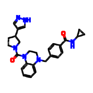 O=C(NC1CC1)c1ccc(CN2CCN(C(=O)N3CCC(c4cn[nH]c4)C3)c3ccccc32)cc1